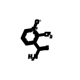 NC(=S)c1ccc[n+]([O-])c1C(F)(F)F